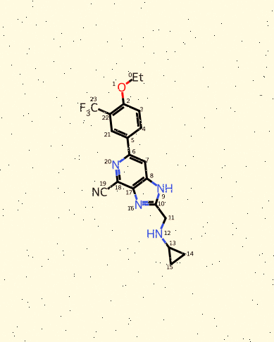 CCOc1ccc(-c2cc3[nH]c(CNC4CC4)nc3c(C#N)n2)cc1C(F)(F)F